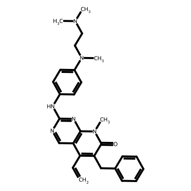 C=Cc1c(Cc2ccccc2)c(=O)n(C)c2nc(Nc3ccc(N(C)CCN(C)C)cc3)ncc12